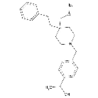 CCOCC1(CCc2ccccc2)CCN(Cc2ccc(C(C)O)cc2)CC1